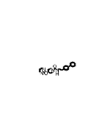 O=C(NCCc1ccc(-c2ccccc2)cc1)N1CCC(Oc2ncccn2)CC1